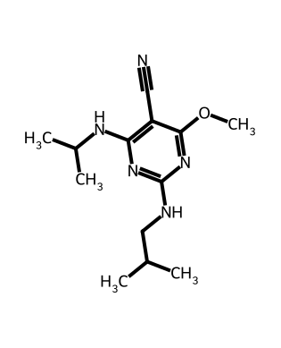 COc1nc(NCC(C)C)nc(NC(C)C)c1C#N